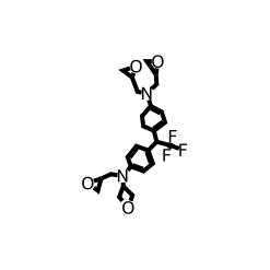 FC(F)(F)C(C1=CC=C(N(CC2CO2)CC2CO2)CC1)c1ccc(N(CC2CO2)C2COC2)cc1